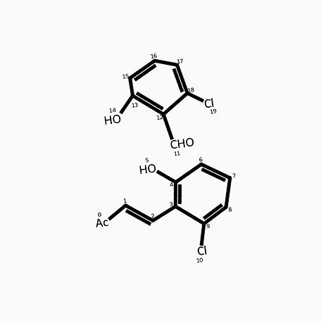 CC(=O)C=Cc1c(O)cccc1Cl.O=Cc1c(O)cccc1Cl